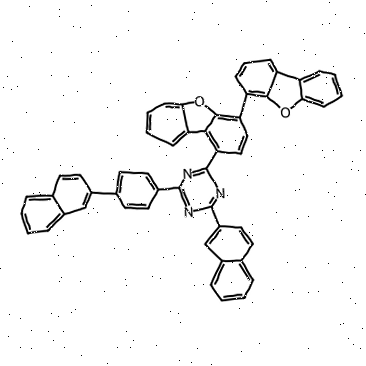 c1ccc2cc(-c3ccc(-c4nc(-c5ccc6ccccc6c5)nc(-c5ccc(-c6cccc7c6oc6ccccc67)c6oc7ccccc7c56)n4)cc3)ccc2c1